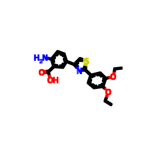 CCOc1ccc(-c2nc(-c3ccc(N)c(C(=O)O)c3)cs2)cc1OCC